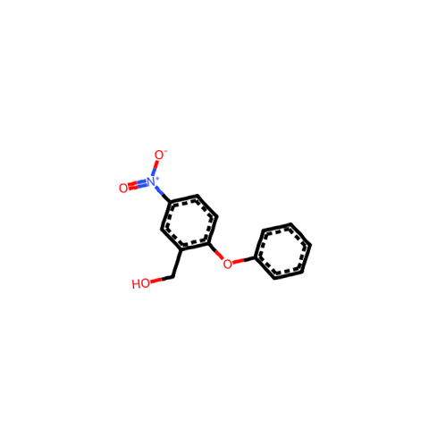 O=[N+]([O-])c1ccc(Oc2ccccc2)c(CO)c1